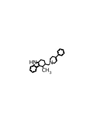 CC1c2c([nH]c3ccccc23)CCC1CN1CC=C(c2ccccc2)CC1